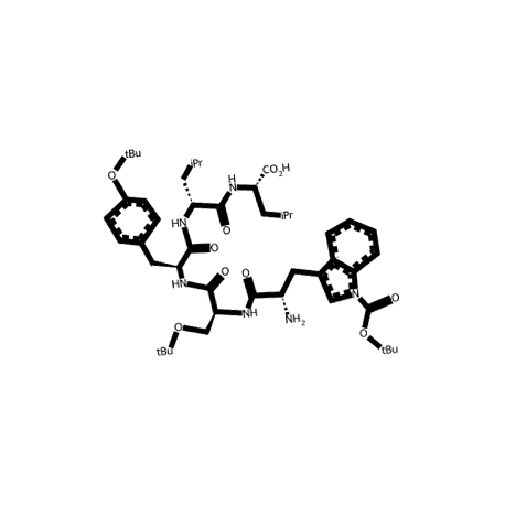 CC(C)C[C@H](NC(=O)[C@@H](CC(C)C)NC(=O)[C@H](Cc1ccc(OC(C)(C)C)cc1)NC(=O)[C@H](COC(C)(C)C)NC(=O)[C@@H](N)Cc1cn(C(=O)OC(C)(C)C)c2ccccc12)C(=O)O